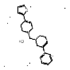 C1=C(c2ccccc2)CC(CN2CC=C(c3cccs3)CC2)CC1.Cl